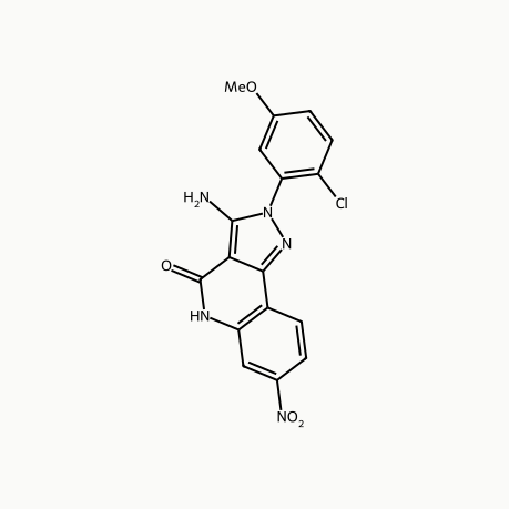 COc1ccc(Cl)c(-n2nc3c(c2N)c(=O)[nH]c2cc([N+](=O)[O-])ccc23)c1